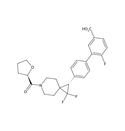 O=C(O)c1ccc(F)c(-c2ccc([C@@H]3C(F)(F)C34CCN(C(=O)[C@H]3CCCO3)CC4)cc2)c1